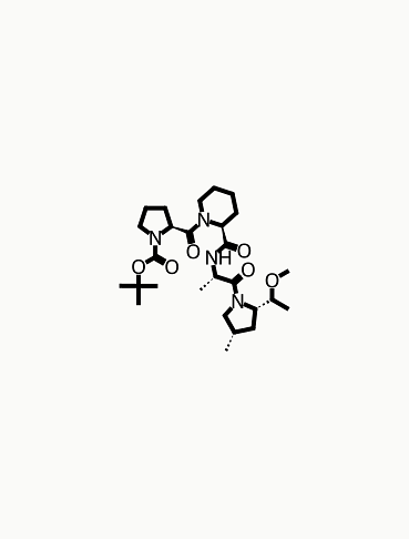 COC(C)[C@@H]1C[C@H](C)CN1C(=O)[C@H](C)NC(=O)[C@@H]1CCCCN1C(=O)[C@@H]1CCCN1C(=O)OC(C)(C)C